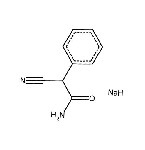 N#CC(C(N)=O)c1ccccc1.[NaH]